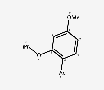 COc1ccc(C(C)=O)c(OC(C)C)c1